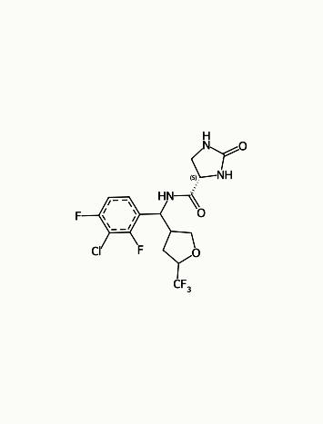 O=C1NC[C@@H](C(=O)NC(c2ccc(F)c(Cl)c2F)C2COC(C(F)(F)F)C2)N1